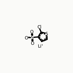 O=S(=O)([O-])c1ccsc1Cl.[Li+]